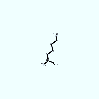 ClB(Cl)CCCCBr